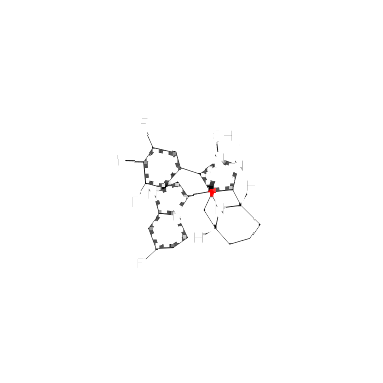 Cn1nc2c(c1-c1cc(F)c(F)c(F)c1)C[C@H]1CCC[C@@H]2N1C(=O)c1cnc2cc(F)ccn12